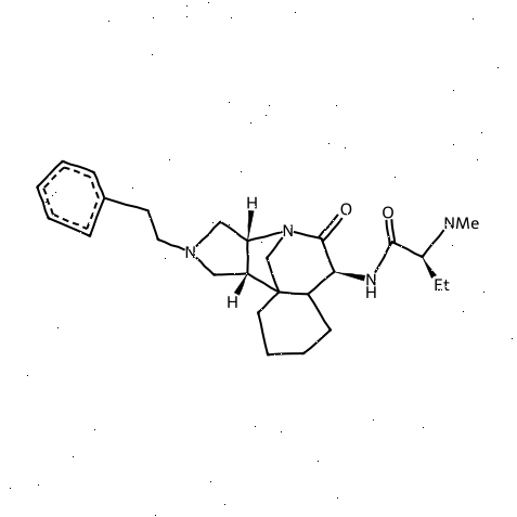 CC[C@H](NC)C(=O)N[C@@H]1C(=O)N2CC3(CCCCC13)[C@@H]1CN(CCc3ccccc3)C[C@@H]12